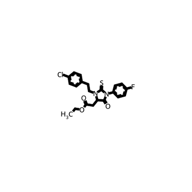 CCOC(=O)CC1C(=O)N(c2ccc(F)cc2)C(=S)N1CCc1ccc(Cl)cc1